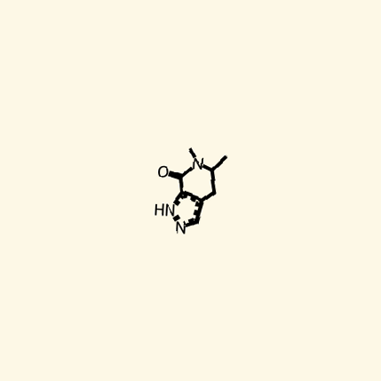 CC1Cc2cn[nH]c2C(=O)N1C